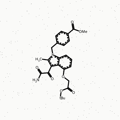 COC(=O)c1ccc(Cn2c(C)c(C(=O)C(N)=O)c3c(OCC(=O)OC(C)(C)C)cccc32)cc1